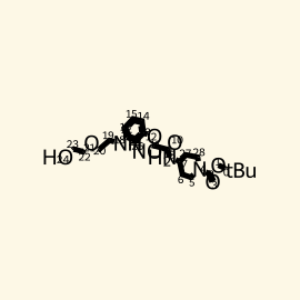 CC(C)(C)OC(=O)N1CCC(NC(=O)COc2cccc(NCCOCCO)c2[N+](=O)[O-])CC1